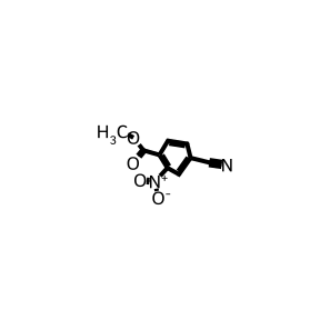 COC(=O)c1ccc(C#N)cc1[N+](=O)[O-]